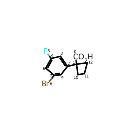 O=C(O)C1(c2cc(F)cc(Br)c2)CCC1